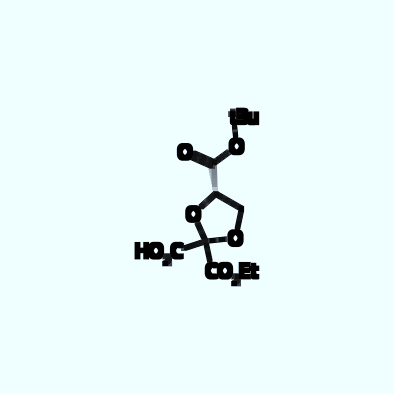 CCOC(=O)C1(C(=O)O)OC[C@@H](C(=O)OC(C)(C)C)O1